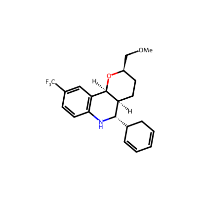 COC[C@H]1CC[C@@H]2[C@H](O1)c1cc(C(F)(F)F)ccc1N[C@H]2C1C=CC=CC1